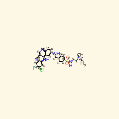 CN(C)CCNS(=O)(=O)c1ccc(CNc2ccc3ncc(C#N)c(Nc4ccc(F)c(Cl)c4)c3c2)cc1